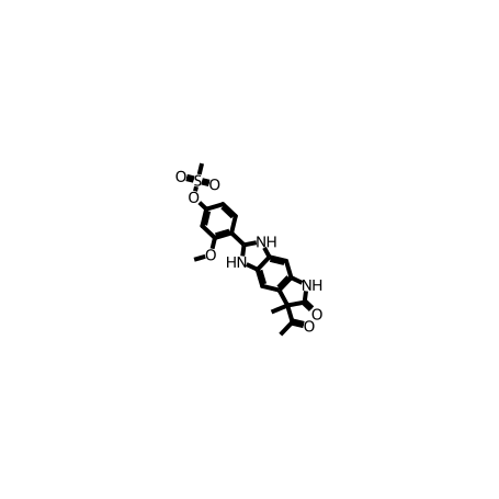 COc1cc(OS(C)(=O)=O)ccc1C1Nc2cc3c(cc2N1)C(C)(C(C)=O)C(=O)N3